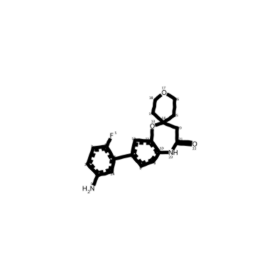 Nc1ccc(F)c(-c2ccc3c(c2)OC2(CCOCC2)CC(=O)N3)c1